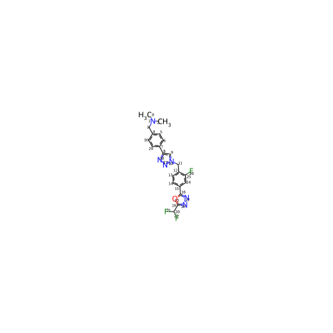 CN(C)Cc1ccc(-c2cn(Cc3ccc(-c4nnc(C(F)F)o4)cc3F)nn2)cc1